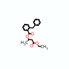 CCOC(=O)CC(C)OC(=O)c1ccccc1Cc1ccccc1